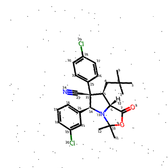 CC(C)(C)C[C@H]1[C@@H]2C(=O)OC(C)(C)N2[C@@H](c2cccc(Cl)c2)[C@]1(C#N)c1ccc(Cl)cc1